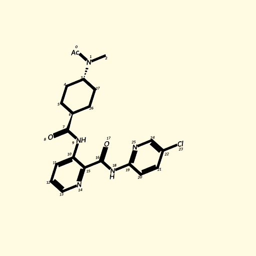 CC(=O)N(C)[C@H]1CC[C@H](C(=O)Nc2cccnc2C(=O)Nc2ccc(Cl)cn2)CC1